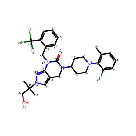 Cc1cccc(F)c1N1CCC(N2Cc3cn(C(C)(C)CO)nc3N(Cc3ccccc3C(F)(F)F)C2=O)CC1